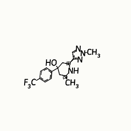 C[C@H]1CC(O)(c2ccc(C(F)(F)F)cc2)C[C@@H](c2cnn(C)n2)N1